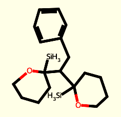 [SiH3]C1(C(Cc2ccccc2)C2([SiH3])CCCCO2)CCCCO1